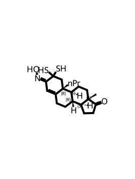 CCC[C@]12CC(S)(S)C(=NO)C=C1CC[C@@H]1[C@@H]2CC[C@]2(C)C(=O)CC[C@@H]12